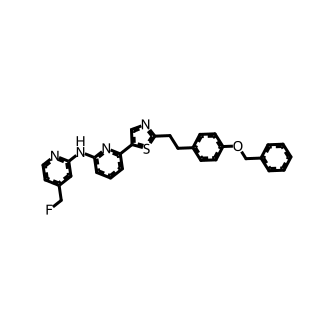 FCc1ccnc(Nc2cccc(-c3cnc(CCc4ccc(OCc5ccccc5)cc4)s3)n2)c1